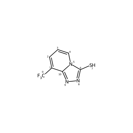 FC(F)(F)c1cccn2c(S)nnc12